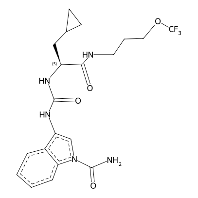 NC(=O)n1cc(NC(=O)N[C@@H](CC2CC2)C(=O)NCCCOC(F)(F)F)c2ccccc21